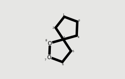 C1CCC2(C1)CCOO2